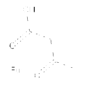 CC(=O)CC(=O)O.[Eu]